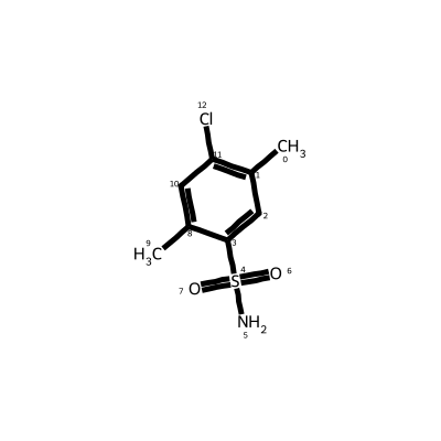 Cc1cc(S(N)(=O)=O)c(C)cc1Cl